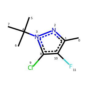 Cc1nn(C(C)(C)C)c(Cl)c1F